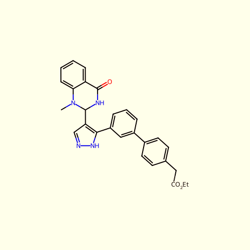 CCOC(=O)Cc1ccc(-c2cccc(-c3[nH]ncc3C3NC(=O)c4ccccc4N3C)c2)cc1